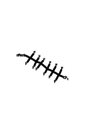 [CH2]CCCCC(F)(F)C(F)(F)C(F)(F)C(F)(F)C(F)(F)C(F)(F)C(F)(F)F